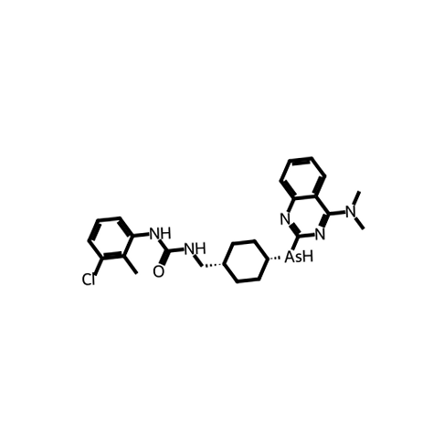 Cc1c(Cl)cccc1NC(=O)NC[C@H]1CC[C@@H]([AsH]c2nc(N(C)C)c3ccccc3n2)CC1